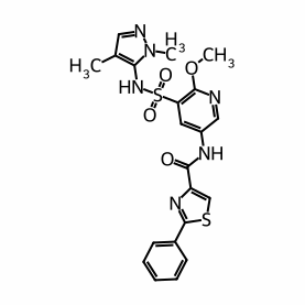 COc1ncc(NC(=O)c2csc(-c3ccccc3)n2)cc1S(=O)(=O)Nc1c(C)cnn1C